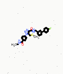 CCNC(=O)c1ccc(-n2nnc(C(=O)NCc3cccc(-c4ccc(F)cc4)c3)c2CSC)cc1